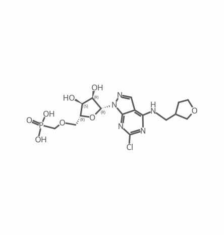 O=P(O)(O)COC[C@H]1O[C@@H](n2ncc3c(NCC4CCOC4)nc(Cl)nc32)[C@H](O)[C@@H]1O